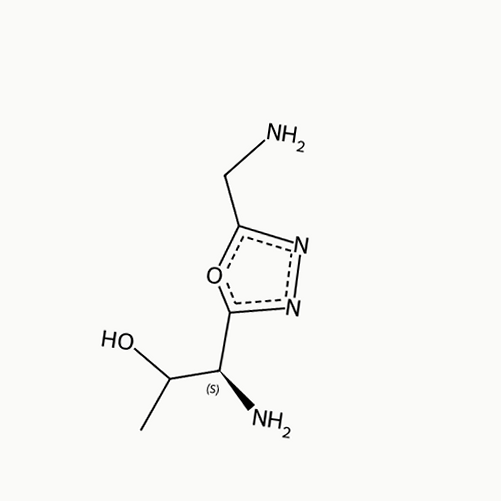 CC(O)[C@H](N)c1nnc(CN)o1